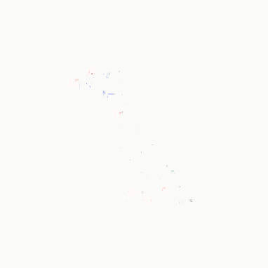 COC(=O)c1cc(C(C)(C)c2ccc(OCc3ccnc(NS(C)(=O)=O)n3)cc2)cc(Cl)c1OCCCl